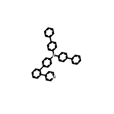 c1ccc(-c2ccc(N(c3ccc(-c4ccccc4)cc3)c3ccc(-c4ccccc4-c4ccncc4)cc3)cc2)cc1